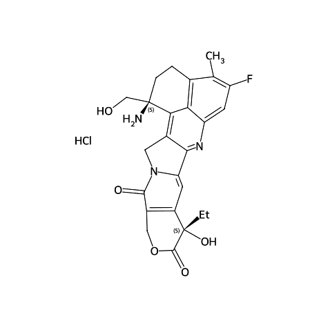 CC[C@@]1(O)C(=O)OCc2c1cc1n(c2=O)Cc2c-1nc1cc(F)c(C)c3c1c2[C@](N)(CO)CC3.Cl